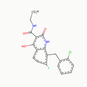 O=C(O)CNC(=O)c1c(O)c2ccc(F)c(Cc3ccccc3Cl)c2[nH]c1=O